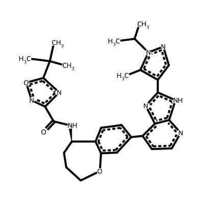 Cc1c(-c2nc3c(-c4ccc5c(c4)OCCC[C@H]5NC(=O)c4noc(C(C)(C)C)n4)ccnc3[nH]2)cnn1C(C)C